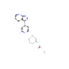 CCOC(=O)CNC(=O)NC1CCCC(Nc2cc(-c3c[nH]c4ncccc34)cc(Cl)n2)C1